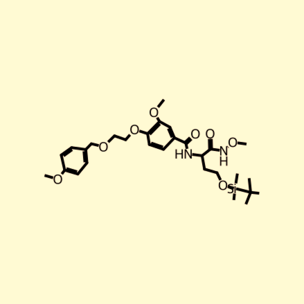 CONC(=O)C(CCO[Si](C)(C)C(C)(C)C)NC(=O)c1ccc(OCCOCc2ccc(OC)cc2)c(OC)c1